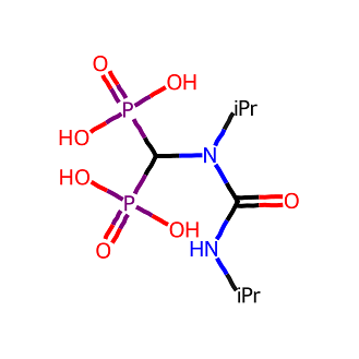 CC(C)NC(=O)N(C(C)C)C(P(=O)(O)O)P(=O)(O)O